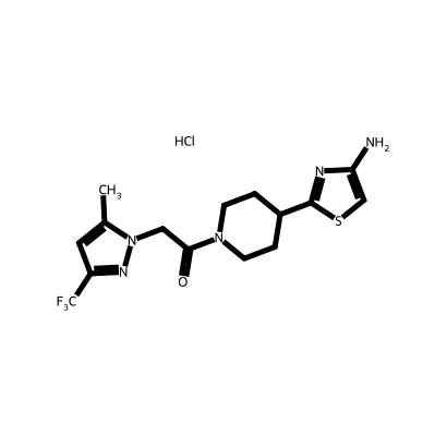 Cc1cc(C(F)(F)F)nn1CC(=O)N1CCC(c2nc(N)cs2)CC1.Cl